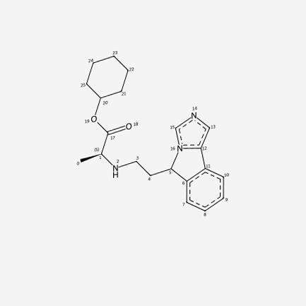 C[C@H](NCCC1c2ccccc2-c2cncn21)C(=O)OC1CCCCC1